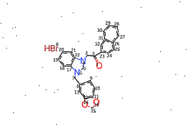 Br.O=C(CN1CN(Cc2ccc3c(c2)OCO3)c2ccccc21)c1ccc2ccccc2c1